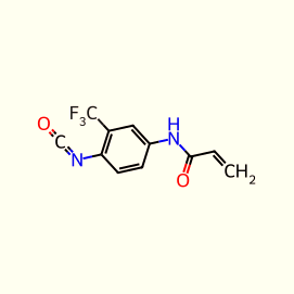 C=CC(=O)Nc1ccc(N=C=O)c(C(F)(F)F)c1